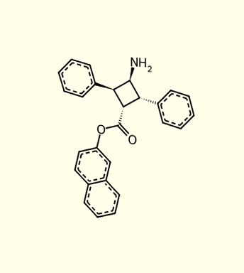 N[C@H]1[C@H](c2ccccc2)[C@H](C(=O)Oc2ccc3ccccc3c2)[C@H]1c1ccccc1